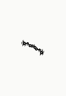 Fc1cc(-c2ccc(-c3ccc4cc5c(cc4c3)sc3cc4cc(-c6ccc(-c7cc(F)c(F)c(F)c7F)s6)ccc4cc35)s2)c(F)c(F)c1F